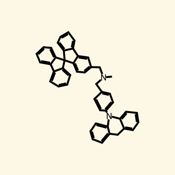 CN(Cc1ccc(N2c3ccccc3Cc3ccccc32)cc1)Cc1ccc2c(c1)-c1ccccc1C21c2ccccc2-c2ccccc21